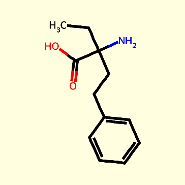 CCC(N)(CCc1ccccc1)C(=O)O